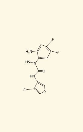 Nc1cc(F)c(F)cc1N(S)C(=O)Nc1cscc1Cl